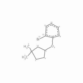 CC1(C)CCC(Oc2c[c]ccc2Br)C1